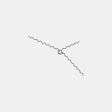 CCCCCCCCCCCCCCCN1C=CN(CCCCCCCCCCCCCC)C1CCCCCCCCC